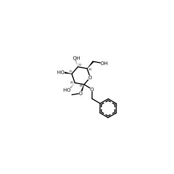 CO[C@]1(OCc2ccccc2)O[C@H](CO)[C@@H](O)[C@H](O)[C@H]1O